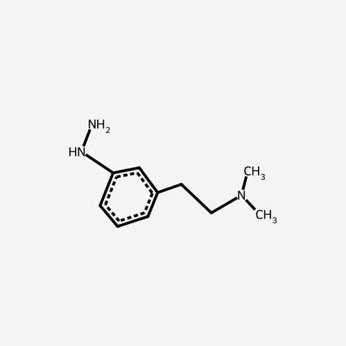 CN(C)CCc1cccc(NN)c1